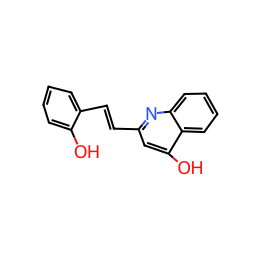 Oc1ccccc1C=Cc1cc(O)c2ccccc2n1